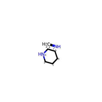 C1CCNCC1.C=N